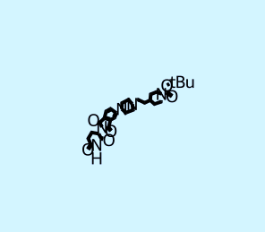 CC(C)(C)OC(=O)N1CCC(CCN2CCN(c3ccc4c(c3)C(=O)N(C3CCC(=O)NC3=O)C4=O)CC2)CC1